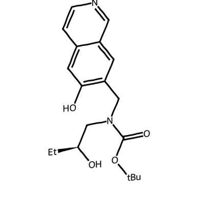 CC[C@H](O)CN(Cc1cc2cnccc2cc1O)C(=O)OC(C)(C)C